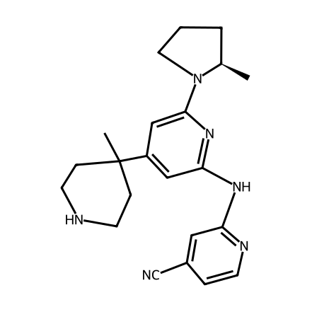 C[C@@H]1CCCN1c1cc(C2(C)CCNCC2)cc(Nc2cc(C#N)ccn2)n1